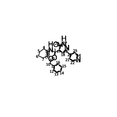 O=C(N[C@H]1CCCC[C@@H]1OCc1ccccc1)c1cc(-c2ccncc2)n[nH]c1=O